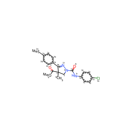 COC(=O)C1(C)CN(C(=O)Nc2ccc(Cl)cc2)N=C1c1ccc(SC)cc1